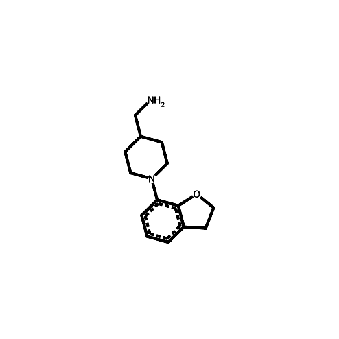 NCC1CCN(c2cccc3c2OCC3)CC1